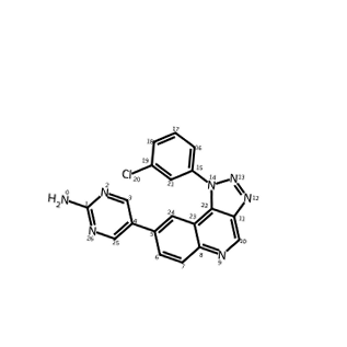 Nc1ncc(-c2ccc3ncc4nnn(-c5cccc(Cl)c5)c4c3c2)cn1